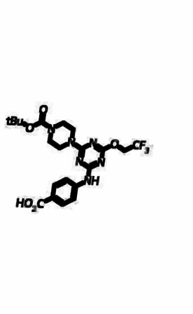 CC(C)(C)OC(=O)N1CCN(c2nc(Nc3ccc(C(=O)O)cc3)nc(OCC(F)(F)F)n2)CC1